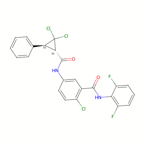 O=C(Nc1c(F)cccc1F)c1cc(NC(=O)[C@@H]2[C@@H](c3ccccc3)C2(Cl)Cl)ccc1Cl